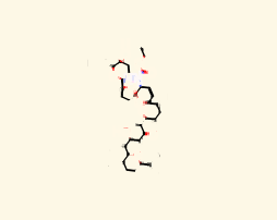 C=CCOC(=O)NC1C=C[C@]2(O[C@H](C(CC)C(=O)[C@@H](C)[C@@H](O)[C@H](C)[C@@H]3O[C@@H]([C@@H](CC)C(=O)O)CC[C@@H]3C)[C@@H](C)C[C@H]2C)O[C@@]12CC[C@@](C)([C@H]1CC[C@](O)(CC)[C@H](C)O1)O2